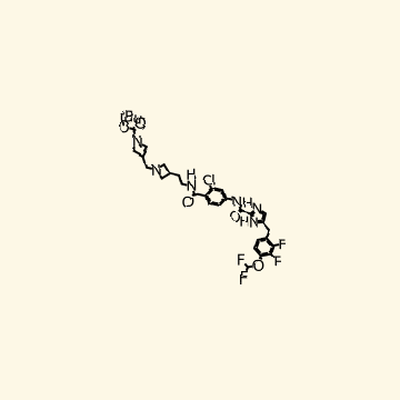 CC(C)(C)OC(=O)N1CC(CN2CC(CCNC(=O)c3ccc(NC(=O)c4ncc(Cc5ccc(OC(F)F)c(F)c5F)[nH]4)cc3Cl)C2)C1